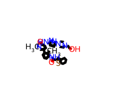 Cc1c(NC(=O)c2cc3c(s2)CCCC3)cccc1-c1cc(Nc2ccc(N3CCN(CCO)CC3)nn2)c(=O)n(C)c1